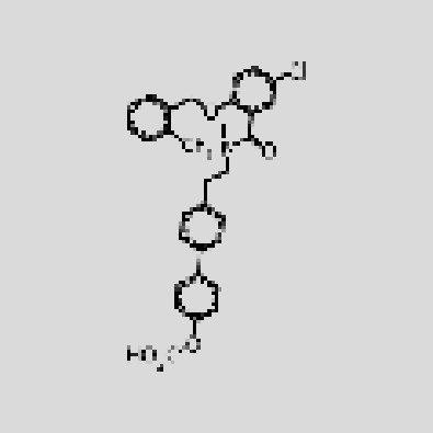 O=C(O)Oc1ccc(-c2ccc(CCNC(=O)c3cc(Cl)ccc3OCc3ccccc3C(F)(F)F)cc2)cc1